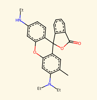 CCNc1ccc2c(c1)Oc1cc(N(CC)CC)c(C)cc1C21OC(=O)c2ccccc21